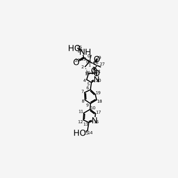 C[C@@](C[C@H]1CC(c2ccc(-c3ccc(CO)nc3)cc2)=NO1)(C(=O)NO)S(C)(=O)=O